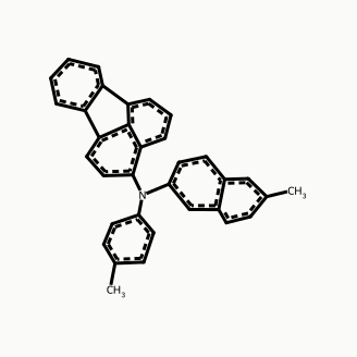 Cc1ccc(N(c2ccc3cc(C)ccc3c2)c2ccc3c4c(cccc24)-c2ccccc2-3)cc1